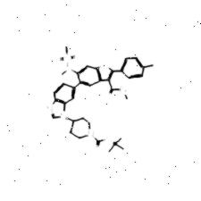 CNC(=O)c1c(-c2ccc(C)cc2)oc2cc(N(C)S(C)(=O)=O)c(-c3ccc4ncn(C5CCN(C(=O)OC(C)(C)C)CC5)c4c3)cc12